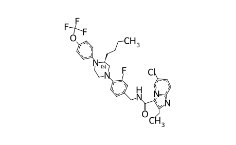 CCCC[C@H]1CN(c2ccc(CNC(=O)c3c(CC)nc4ccc(Cl)cn34)cc2F)CCN1c1ccc(OC(F)(F)F)cc1